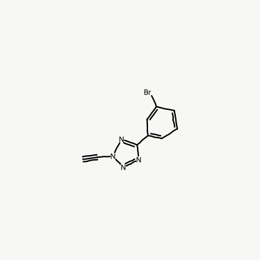 C#Cn1nnc(-c2cccc(Br)c2)n1